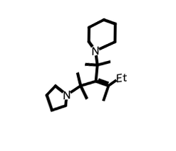 CC/C(C)=C(\C(C)(C)N1CCCCC1)C(C)(C)N1CCCC1